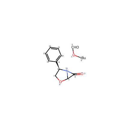 CC(C)(C)OC=O.O=C1C2OC[C@@H](c3ccccc3)N12